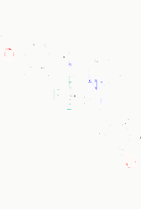 COc1ccc(/C=C/c2cccc(/C=C/c3ccc(OC)cc3)[n+]2CC(F)(F)F)cc1